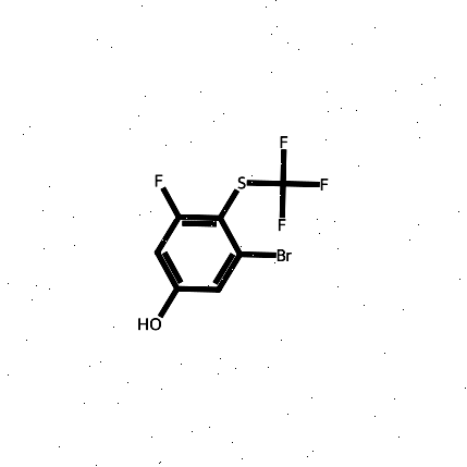 Oc1cc(F)c(SC(F)(F)F)c(Br)c1